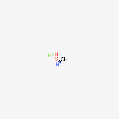 C#N.F.[OH]